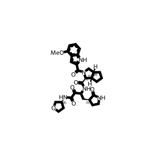 COc1cccc2[nH]c(C(=O)N3C[C@@H]4CCC[C@@H]4[C@H]3C(=O)NC(C[C@@H]3CCNC3=O)C(=O)C(=O)N[C@@H]3CCOC3)cc12